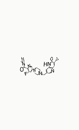 CNC(=O)c1ncc(N2CCN(Cc3cnc4cc(C5CC5)c(=O)[nH]c4c3)CC2)cc1F